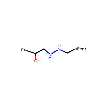 CCCCCCNNCC(O)CC